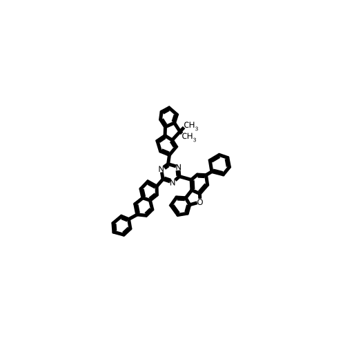 CC1(C)c2ccccc2-c2ccc(-c3nc(-c4ccc5cc(-c6ccccc6)ccc5c4)nc(-c4cc(-c5ccccc5)cc5oc6ccccc6c45)n3)cc21